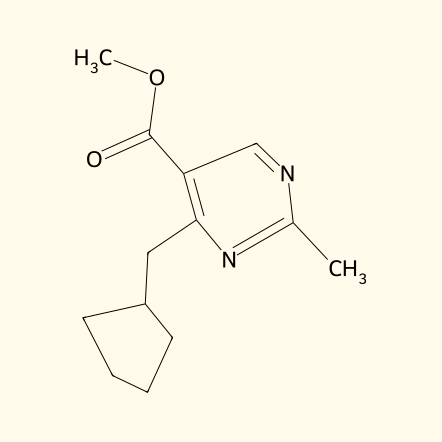 COC(=O)c1cnc(C)nc1CC1CCCC1